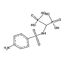 Nc1ccc(S(=O)(=O)NC(P(=O)(O)O)P(=O)(O)O)cc1